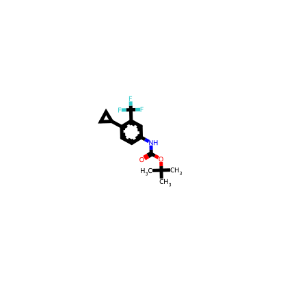 CC(C)(C)OC(=O)Nc1ccc(C2CC2)c(C(F)(F)F)c1